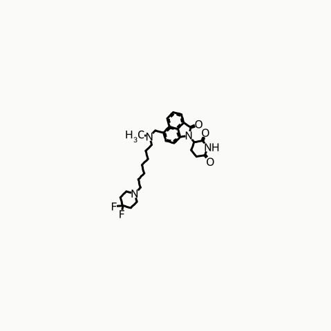 CN(CCCCCCCN1CCC(F)(F)CC1)Cc1ccc2c3c(cccc13)C(=O)N2C1CCC(=O)NC1=O